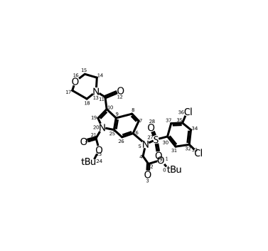 CC(C)(C)OC(=O)CN(c1ccc2c(C(=O)N3CCOCC3)cn(C(=O)OC(C)(C)C)c2c1)S(=O)(=O)c1cc(Cl)cc(Cl)c1